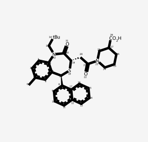 Cc1ccc2c(c1)[C@H](c1cccc3ccccc13)S[C@@H](CC(=O)N1CCCC(C(=O)O)C1)C(=O)N2CC(C)(C)C